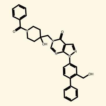 O=C(c1ccccc1)N1CCC(O)(Cn2cnc3c(cnn3-c3ccc(-c4ccccc4)c(CO)c3)c2=O)CC1